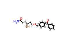 NC(=O)CCC(S)CCOCc1ccc(C(=O)c2ccccc2)cc1